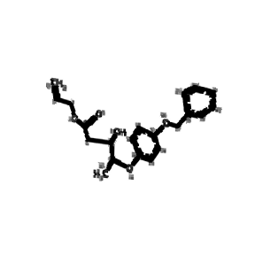 C=CCOC(=O)CC(O)C(C)Oc1ccc(OCc2ccccc2)cc1